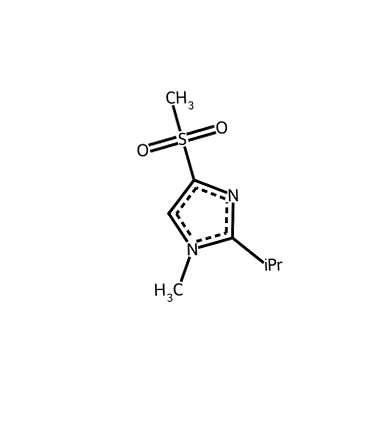 CC(C)c1nc(S(C)(=O)=O)cn1C